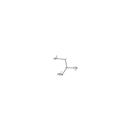 [CH2]CCCC([SeH])C#N